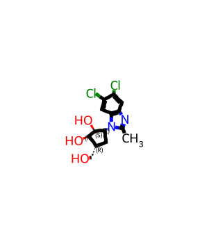 Cc1nc2cc(Cl)c(Cl)cc2n1[C@@H]1C[C@H](CO)[C@@H](O)[C@H]1O